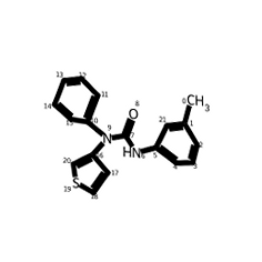 Cc1cccc(NC(=O)N(c2ccccc2)c2ccsc2)c1